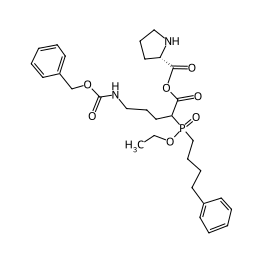 CCOP(=O)(CCCCc1ccccc1)C(CCCNC(=O)OCc1ccccc1)C(=O)OC(=O)[C@@H]1CCCN1